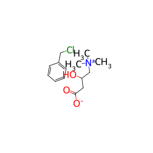 C[N+](C)(C)CC(O)CC(=O)[O-].ClCc1ccccc1